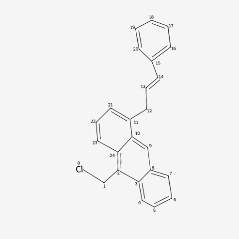 ClCc1c2ccccc2cc2c(CC=Cc3ccccc3)cccc12